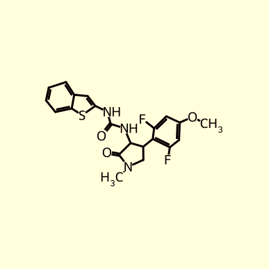 COc1cc(F)c(C2CN(C)C(=O)C2NC(=O)Nc2cc3ccccc3s2)c(F)c1